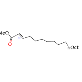 CCCCCCCCCCCCCCC/C=C/C(=O)OC